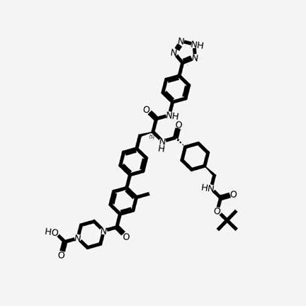 Cc1cc(C(=O)N2CCN(C(=O)O)CC2)ccc1-c1ccc(C[C@H](NC(=O)[C@H]2CC[C@H](CNC(=O)OC(C)(C)C)CC2)C(=O)Nc2ccc(-c3nn[nH]n3)cc2)cc1